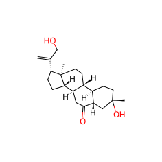 C=C(CO)[C@H]1CC[C@H]2[C@@H]3CC(=O)[C@H]4C[C@@](C)(O)CC[C@@H]4[C@H]3CC[C@]12C